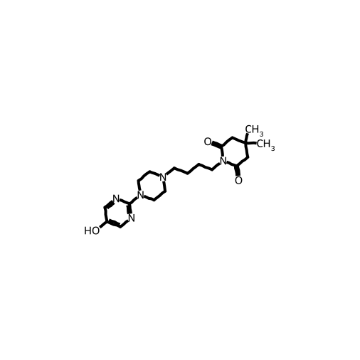 CC1(C)CC(=O)N(CCCCN2CCN(c3ncc(O)cn3)CC2)C(=O)C1